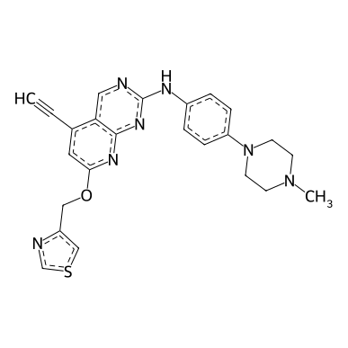 C#Cc1cc(OCc2cscn2)nc2nc(Nc3ccc(N4CCN(C)CC4)cc3)ncc12